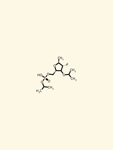 CC(C)OC1[C@@H](F)[C@H](C)O[C@@H]1COP(=O)(O)OC(C)C